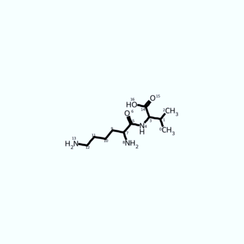 CC(C)C(NC(=O)C(N)CCCCN)C(=O)O